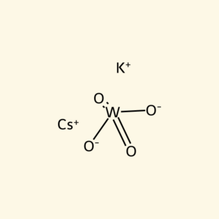 [Cs+].[K+].[O]=[W](=[O])([O-])[O-]